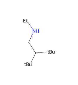 CCNCC(C(C)(C)C)C(C)(C)C